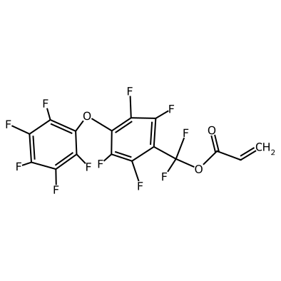 C=CC(=O)OC(F)(F)c1c(F)c(F)c(Oc2c(F)c(F)c(F)c(F)c2F)c(F)c1F